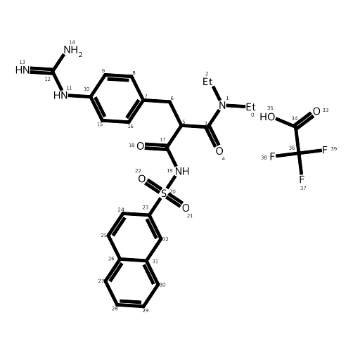 CCN(CC)C(=O)C(Cc1ccc(NC(=N)N)cc1)C(=O)NS(=O)(=O)c1ccc2ccccc2c1.O=C(O)C(F)(F)F